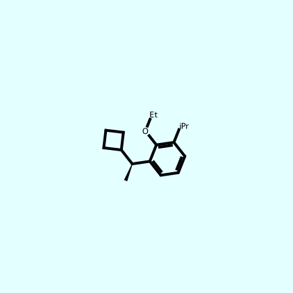 CCOc1c(C(C)C)cccc1[C@@H](C)C1CCC1